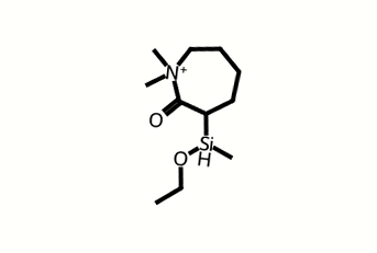 CCO[SiH](C)C1CCCC[N+](C)(C)C1=O